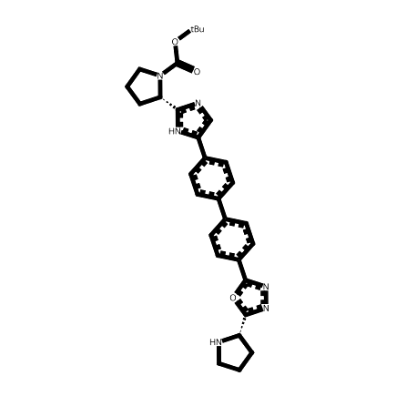 CC(C)(C)OC(=O)N1CCC[C@H]1c1ncc(-c2ccc(-c3ccc(-c4nnc([C@@H]5CCCN5)o4)cc3)cc2)[nH]1